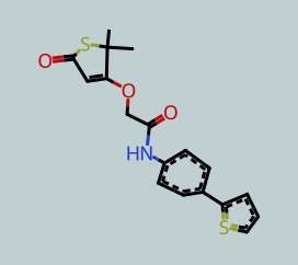 CC1(C)SC(=O)C=C1OCC(=O)Nc1ccc(-c2cccs2)cc1